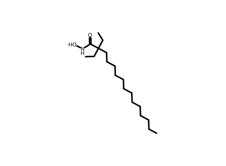 CCCCCCCCCCCCCC(CC)(CC)C(=O)NO